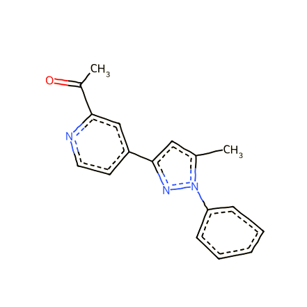 CC(=O)c1cc(-c2cc(C)n(-c3ccccc3)n2)ccn1